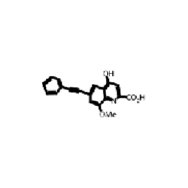 COc1cc(C#Cc2ccccc2)cc2c(O)cc(C(=O)O)nc12